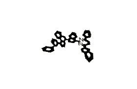 C1=C(c2ccccc2)N=C(c2ccc(C3Cc4ccccc4-c4c(-c5cccc(-c6ccccc6)c5)cccc43)c3ccccc23)N=C(c2ccc3ccccc3c2)C1